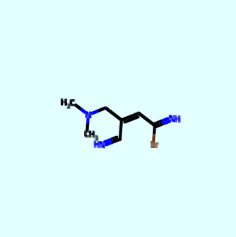 CN(C)C/C(C=N)=C/C(=N)Br